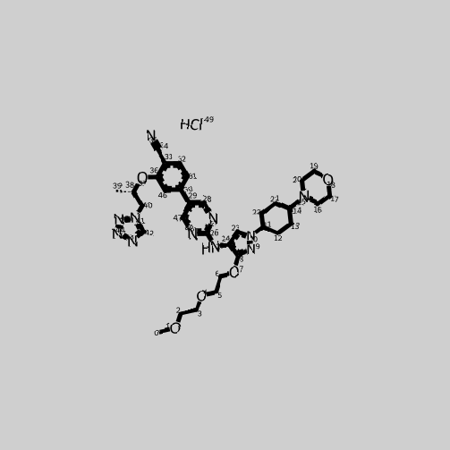 COCCOCCOc1nn(C2CCC(N3CCOCC3)CC2)cc1Nc1ncc(-c2ccc(C#N)c(O[C@@H](C)Cn3cnnn3)c2)cn1.Cl